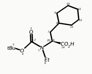 CCN(C(=O)OC(C)(C)C)[C@@H](CC1CCCCC1)C(=O)O